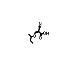 CCC(C)OC=C(C#N)C(=O)O